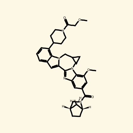 COCC(=O)N1CCC(c2cccc3cc(-c4nc5cc(C(=O)N6C[C@H]7CC[C@@H]6[C@@H]7N)cc(OC)c5n4C)n(CC4CC4)c23)CC1